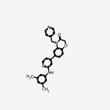 Cc1cc(C)cc(Nc2cc(-c3ccc4c(c3)N(Cc3ccncc3)C(=O)CO4)ccn2)c1